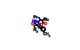 CCC(C)C(C(=O)Oc1ccc(C)cc1)=C(CC(C)C)C1=NC(C)(C(C)CC)C(=O)N1